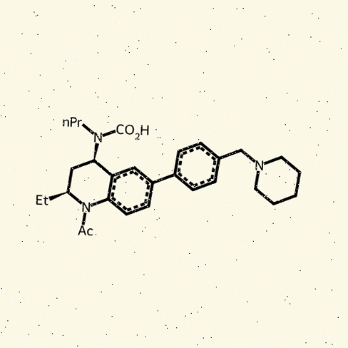 CCCN(C(=O)O)[C@@H]1C[C@H](CC)N(C(C)=O)c2ccc(-c3ccc(CN4CCCCC4)cc3)cc21